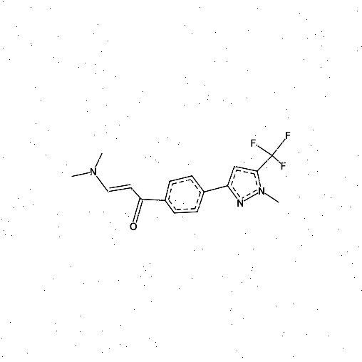 CN(C)C=CC(=O)c1ccc(-c2cc(C(F)(F)F)n(C)n2)cc1